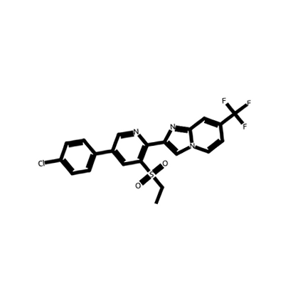 CCS(=O)(=O)c1cc(-c2ccc(Cl)cc2)cnc1-c1cn2ccc(C(F)(F)F)cc2n1